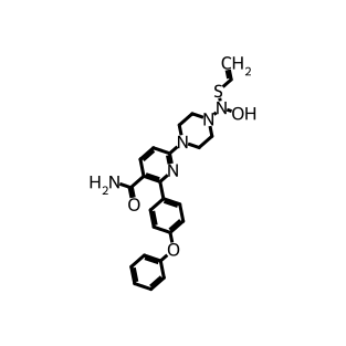 C=CSN(O)N1CCN(c2ccc(C(N)=O)c(-c3ccc(Oc4ccccc4)cc3)n2)CC1